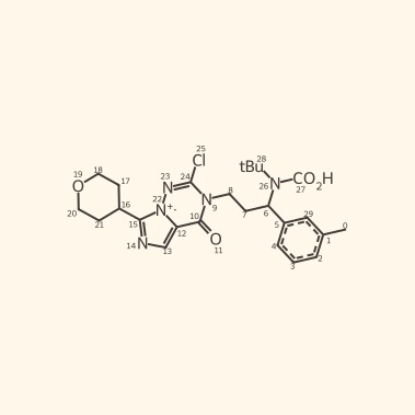 Cc1cccc(C(CCN2C(=O)C3=CN=C(C4CCOCC4)[N+]3N=C2Cl)N(C(=O)O)C(C)(C)C)c1